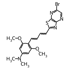 COc1cc(N(C)C)cc(OC)c1/C=C/C=C/c1nc2ncc(Br)nc2s1